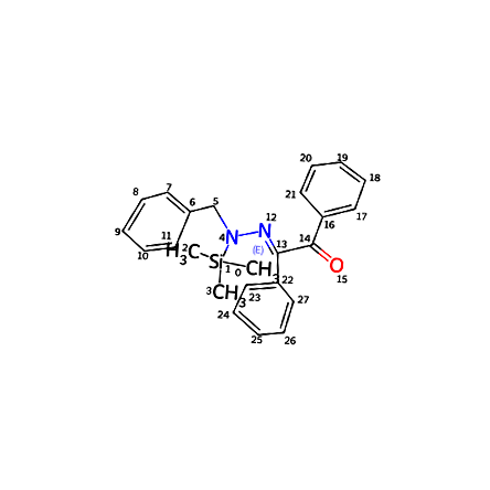 C[Si](C)(C)N(Cc1ccccc1)/N=C(/C(=O)c1ccccc1)c1ccccc1